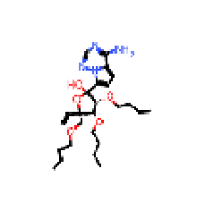 C=C[C@]1(COCCCC)OC(O)(c2ccc3c(N)ncnn23)[C@H](OCCCC)[C@@H]1OCCCC